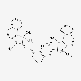 CN1/C(=C/C=C2\CCCC(/C=C/C34C[N+]3(C)c3ccc5ccccc5c3C4(C)C)=C2Cl)C(C)(C)c2c1ccc1ccccc21